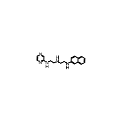 c1ccc2cc(NCCNCCNc3cnccn3)ccc2c1